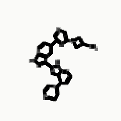 NC1CN(c2cncc(-c3ccc4[nH]nc(-c5cc6c(-c7ccncc7)ccnc6[nH]5)c4c3)n2)C1